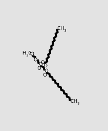 CCCCCCCCCCCCCCCCCC(=O)OCC(OC(=O)CCCCCCCCCCCCCCCCC)C(=O)OCCOCCOC